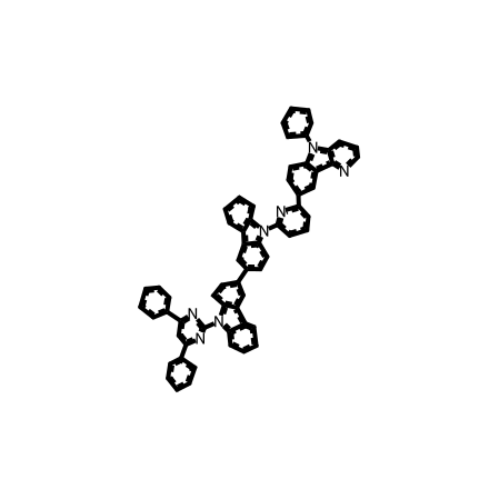 c1ccc(-c2cc(-c3ccccc3)nc(-n3c4ccccc4c4cc(-c5ccc6c(c5)c5ccccc5n6-c5cccc(-c6ccc7c(c6)c6ncccc6n7-c6ccccc6)n5)ccc43)n2)cc1